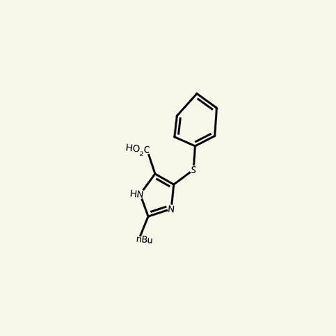 CCCCc1nc(Sc2ccccc2)c(C(=O)O)[nH]1